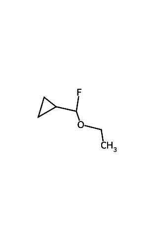 CCOC(F)C1CC1